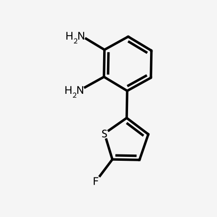 Nc1cccc(-c2ccc(F)s2)c1N